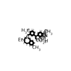 CC[C@H]1CCc2cc(C)ccc2CN(Cc2cc(C(CC(=O)O)c3ccc4c(nnn4C)c3C)ccc2C)C1